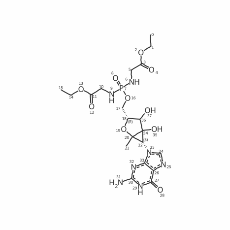 CCOC(=O)CNP(=O)(NCC(=O)OCC)OC[C@H]1OC2(C)[C@@H](n3cnc4c(=O)[nH]c(N)nc43)C2(O)C1O